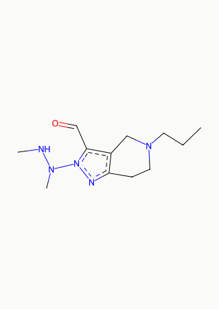 CCCN1CCc2nn(N(C)NC)c(C=O)c2C1